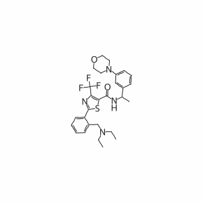 CCN(CC)Cc1ccccc1-c1nc(C(F)(F)F)c(C(=O)NC(C)c2cccc(N3CCOCC3)c2)s1